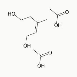 CC(=CCO)CCO.CC(=O)O.CC(=O)O